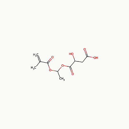 C=C(C)C(=O)OC(C)OC(=O)C(O)CC(=O)O